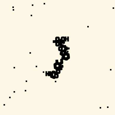 CC(=O)O[C@@H]([C@H]1C[C@@H](C)C2C(CC3[C@H](CCC4C(C)CC[C@H](OC5CNCCO5)C4(C)C)CCC[C@@]32C)O1)C(C)(C)O